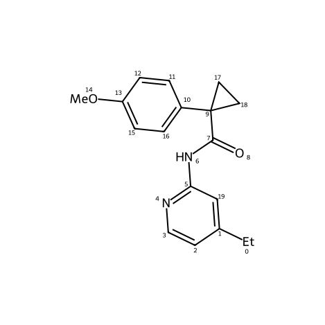 CCc1ccnc(NC(=O)C2(c3ccc(OC)cc3)CC2)c1